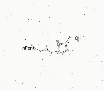 CCCCCCOCc1ccc(CO)o1